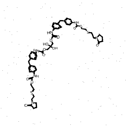 O=C(Nc1ccc(Cc2ccc(NC(=O)OCC(O)(O)COC(=O)Nc3ccc(Cc4ccc(NC(=O)OCCSCCN5CCCC5=O)cc4)cc3)cc2)cc1)OCCSCCN1CCCC1=O